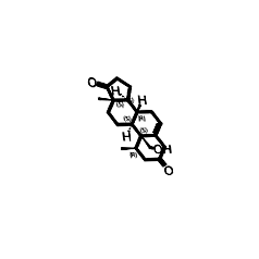 C[C@@H]1CC(=O)CC2=CC[C@@H]3[C@H](CC[C@]4(C)C(=O)CC[C@@H]34)[C@]21CO